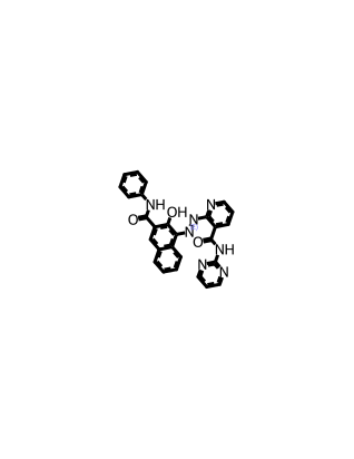 O=C(Nc1ncccn1)c1cccnc1/N=N/c1c(O)c(C(=O)Nc2ccccc2)cc2ccccc12